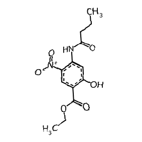 CCCC(=O)Nc1cc(O)c(C(=O)OCC)cc1[N+](=O)[O-]